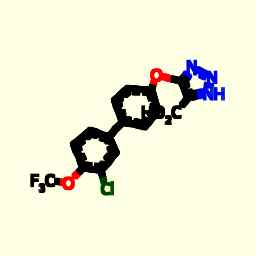 O=C(O)c1[nH]nnc1Oc1ccc(-c2ccc(OC(F)(F)F)c(Cl)c2)cc1